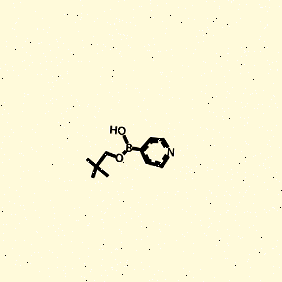 CC(C)(C)COB(O)c1ccncc1